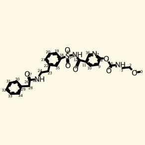 COCCNC(=O)Oc1ccc(C(=O)NS(=O)(=O)c2cccc(CCNC(=O)Cc3ccccc3)c2)cn1